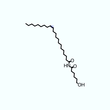 CCCCCCCC/C=C\CCCCCCCCCCCC(=O)NC(=O)CCCCCO